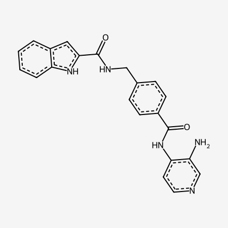 Nc1cnccc1NC(=O)c1ccc(CNC(=O)c2cc3ccccc3[nH]2)cc1